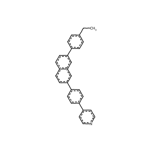 CCc1ccc(-c2ccc3ccc(-c4ccc(-c5ccncc5)cc4)cc3c2)cc1